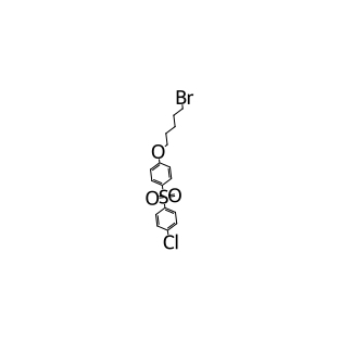 O=S(=O)(c1ccc(Cl)cc1)c1ccc(OCCCCCBr)cc1